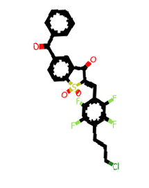 O=C(c1ccccc1)c1ccc2c(c1)C(=O)/C(=C/c1c(F)c(F)c(CCCCl)c(F)c1F)S2(=O)=O